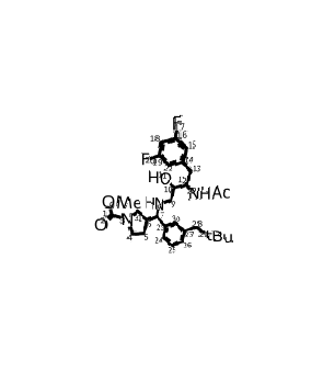 COC(=O)N1CCC(C(NCC(O)C(Cc2cc(F)cc(F)c2)NC(C)=O)c2cccc(CC(C)(C)C)c2)C1